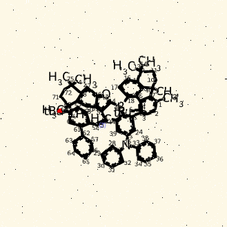 Cc1ccc(C(C)(C)C)cc1C1(C)CCC(C)(C)c2ccc3c(c21)C=Cc1cc(N(c2ccccc2)c2ccccc2)cc(C)c1B3c1oc2cc3c(cc2c1/C=C\c1ccc(C(C)(C)C)cc1-c1ccccc1)C(C)(C)CCC3(C)C